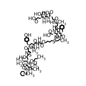 CCCC(=O)OCN(C(=O)[C@@H](NC(=O)[C@H]1CCCCN1C)C(C)CC)[C@H](C[C@@H](O)c1nc(C(=O)N[C@@H](Cc2ccc(O)cc2)C[C@H](C)C(=O)NNC(=O)OCCCCSSC[C@H](C)NC(=O)[C@@H](Cc2ccccc2)NC(=O)[C@H](CC(=O)O)NC(=O)CC[C@@H](C)NC(=O)CC[C@H](NC(=S)N[C@@H](CCC(=O)O)C(=O)O)C(=O)O)cs1)C(C)C